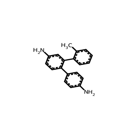 Cc1ccccc1-c1cc(N)ccc1-c1ccc(N)cc1